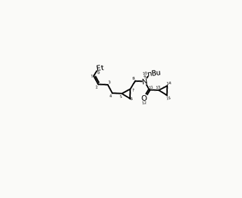 CC/C=C\CCC1CC1CN(CCCC)C(=O)C1CC1